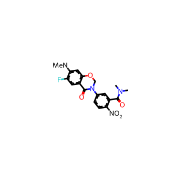 CNc1cc2c(cc1F)C(=O)N(c1ccc([N+](=O)[O-])c(C(=O)N(C)C)c1)CO2